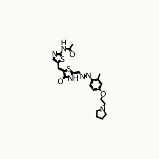 CC(=O)Nc1ncc(C=c2sc(=CN=Nc3ccc(OCCN4CCCC4)cc3C)[nH]c2=O)s1